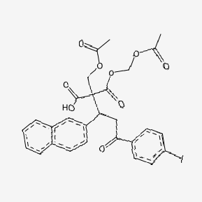 CC(=O)OCOC(=O)C(COC(C)=O)(C(=O)O)C(CC(=O)c1ccc(I)cc1)c1ccc2ccccc2c1